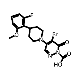 COc1cccc(F)c1C1CCN(c2cnn(C(=O)O)c(=O)c2Br)CC1